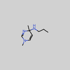 CCCNC1(C)C=CN(C)C=N1